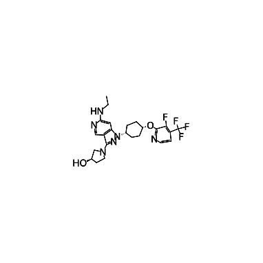 CCNc1cc2c(cn1)c(N1CC[C@@H](O)C1)nn2[C@H]1CC[C@@H](Oc2nccc(C(F)(F)F)c2F)CC1